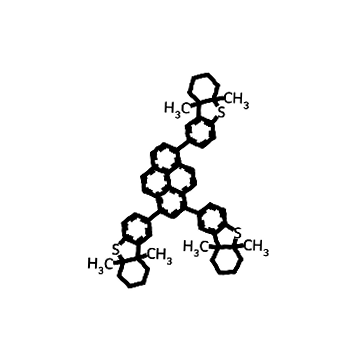 CC12CCCCC1(C)c1cc(-c3ccc4ccc5c(-c6ccc7c(c6)C6(C)CCCCC6(C)S7)cc(-c6ccc7c(c6)C6(C)CCCCC6(C)S7)c6ccc3c4c56)ccc1S2